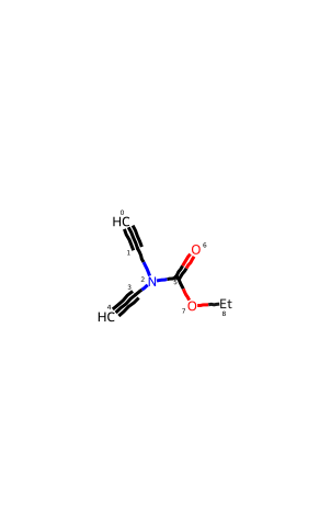 C#CN(C#C)C(=O)OCC